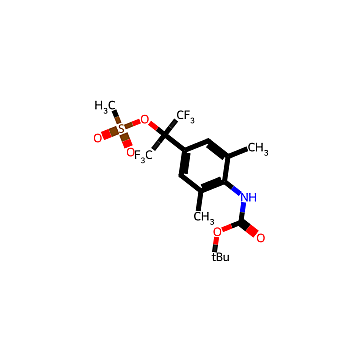 Cc1cc(C(OS(C)(=O)=O)(C(F)(F)F)C(F)(F)F)cc(C)c1NC(=O)OC(C)(C)C